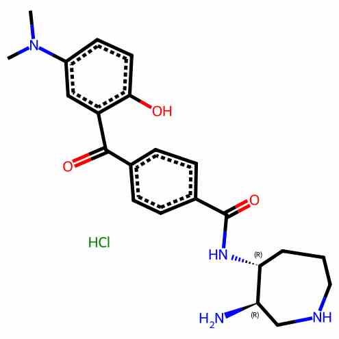 CN(C)c1ccc(O)c(C(=O)c2ccc(C(=O)N[C@@H]3CCCNC[C@H]3N)cc2)c1.Cl